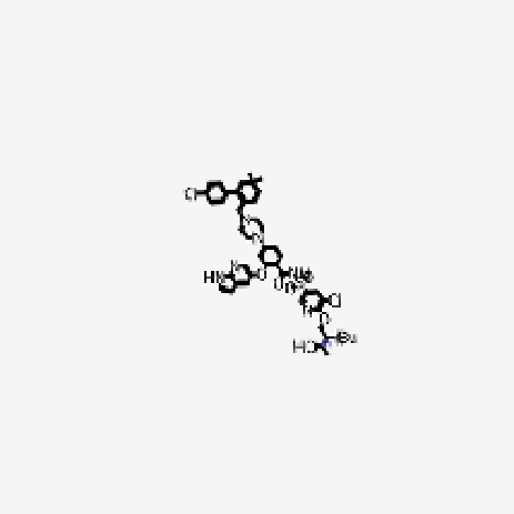 CC[C@H](C)/C(COc1ncc(S(=O)(=O)NC(=O)c2ccc(N3CCN(CC4=C(c5ccc(Cl)cc5)CC(C)(C)CC4)CC3)cc2Oc2cnc3[nH]ccc3c2)cc1Cl)=C(\C)O